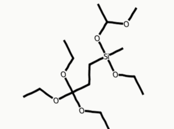 CCOC(CC[Si](C)(OCC)OC(C)OC)(OCC)OCC